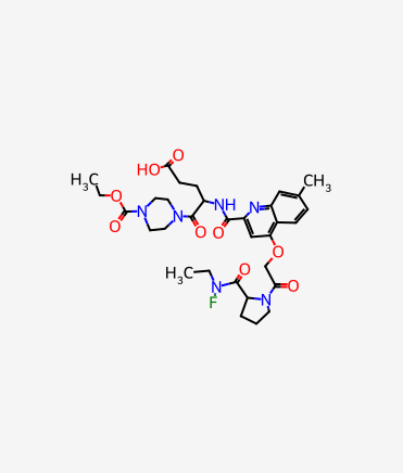 CCOC(=O)N1CCN(C(=O)C(CCC(=O)O)NC(=O)c2cc(OCC(=O)N3CCCC3C(=O)N(F)CC)c3ccc(C)cc3n2)CC1